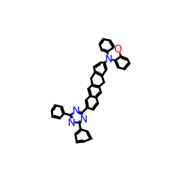 c1ccc(-c2nc(-c3ccccc3)nc(-c3ccc4cc5c(cc4c3)Cc3ccc(N4c6ccccc6Oc6ccccc64)cc3C5)n2)cc1